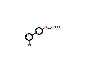 CCOC(=O)COc1ccc(-c2cccc(CC)c2)cc1